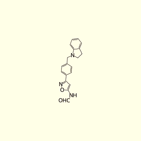 O=CNc1cc(-c2ccc(CN3CCc4ccccc43)cc2)no1